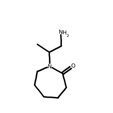 CC(CN)N1CCCCCC1=O